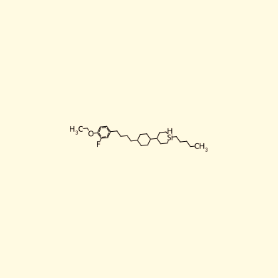 CCCCC[SiH]1CCC(C2CCC(CCCCc3ccc(OCC)c(F)c3)CC2)CC1